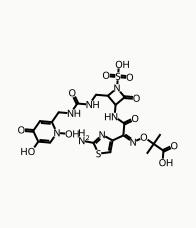 CC(C)(O/N=C(\C(=O)NC1C(=O)N(S(=O)(=O)O)C1CNC(=O)NCc1cc(=O)c(O)cn1O)c1csc(N)n1)C(=O)O